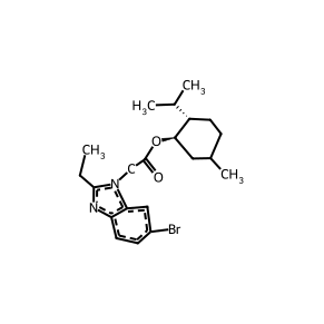 CCc1nc2ccc(Br)cc2n1CC(=O)O[C@@H]1CC(C)CC[C@H]1C(C)C